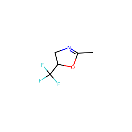 CC1=NCC(C(F)(F)F)O1